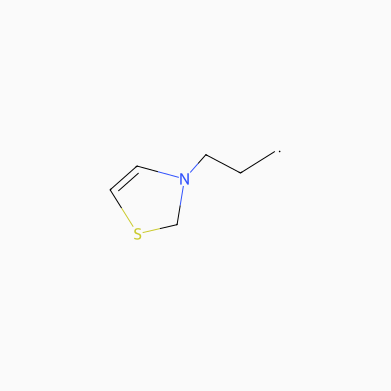 [CH2]CCN1C=CSC1